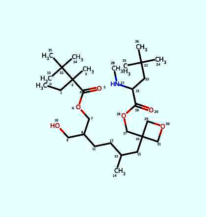 CCC(C)(C(=O)OCC(CO)CCC(C)CC1(COC(=O)C(CC(C)(C)C)NC)COC1)C(C)(C)C